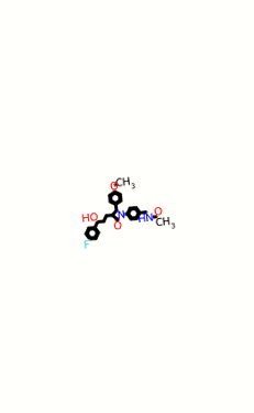 COc1ccc(C2C(CCC(O)c3ccc(F)cc3)C(=O)N2c2ccc(CNC(C)=O)cc2)cc1